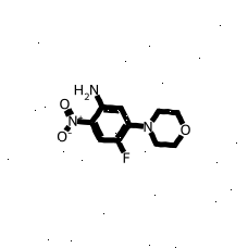 Nc1cc(N2CCOCC2)c(F)cc1[N+](=O)[O-]